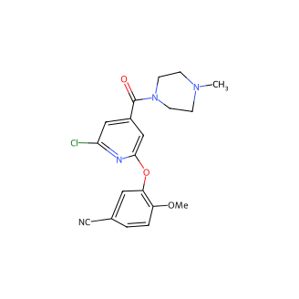 COc1ccc(C#N)cc1Oc1cc(C(=O)N2CCN(C)CC2)cc(Cl)n1